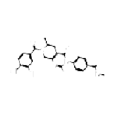 CNC(=O)c1ccc(-n2c(Cl)nc3c(c2=O)CC(C)N(C(=O)c2ccc(Cl)c(Cl)c2)C3)cc1